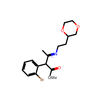 COC(=O)C(/C(C)=N/CCC1COCCO1)c1ccccc1Br